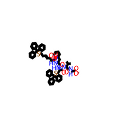 COC(=O)CNC(=O)C(NC(=O)C(CSC(c1ccccc1)(c1ccccc1)c1ccccc1)NC(=O)C(Cc1ccccn1)NC(=O)CC(O)C=CCCSC(c1ccccc1)(c1ccccc1)c1ccccc1)C(C)C